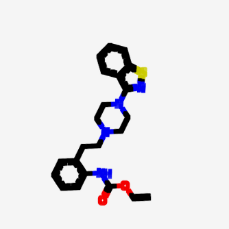 C=COC(=O)Nc1ccccc1CCN1CCN(c2nsc3ccccc23)CC1